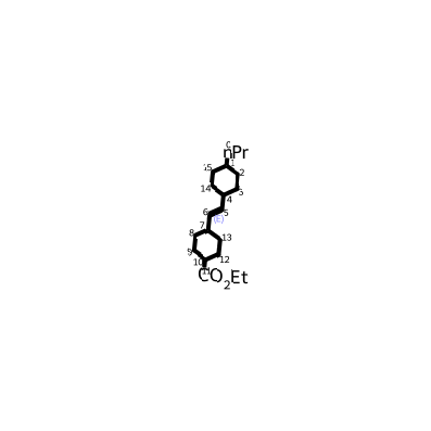 CCCC1CCC(/C=C/C2CCC(C(=O)OCC)CC2)CC1